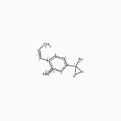 C/C=C\n1ccc(C2(C(C)=O)CC2)cc1=N